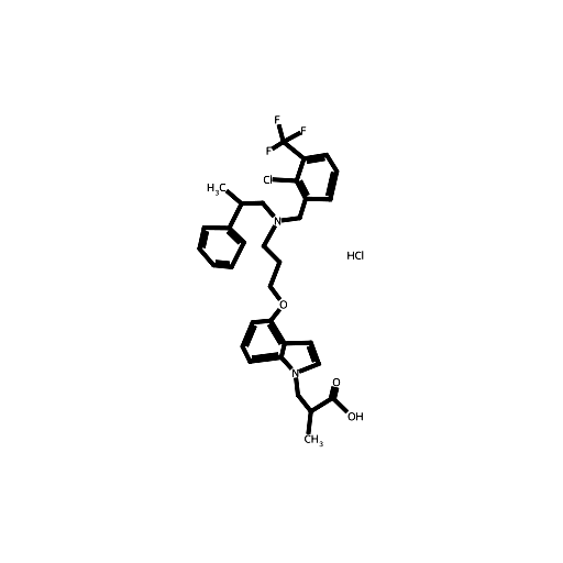 CC(Cn1ccc2c(OCCCN(Cc3cccc(C(F)(F)F)c3Cl)CC(C)c3ccccc3)cccc21)C(=O)O.Cl